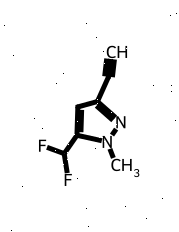 C#Cc1cc(C(F)F)n(C)n1